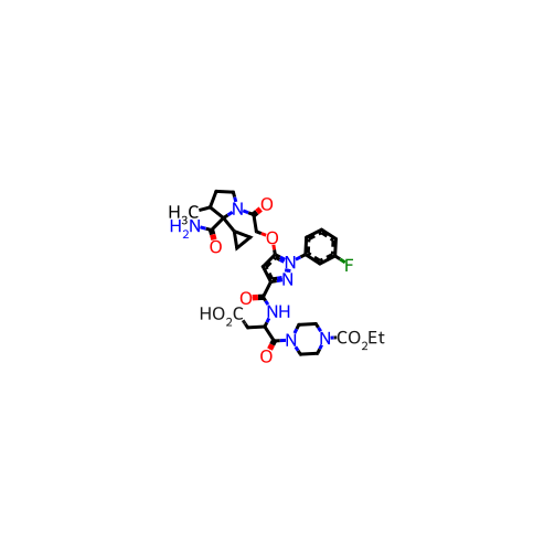 CCOC(=O)N1CCN(C(=O)C(CC(=O)O)NC(=O)c2cc(OCC(=O)N3CCC(C)C3(C(N)=O)C3CC3)n(-c3cccc(F)c3)n2)CC1